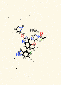 C=C(F)C(=O)N1CCN(c2nc(OC[C@@H]3CCCN3C)nc3cc(-c4c(Cl)c(C)cc5[nH]ncc45)c4c(c23)OCC4)C[C@@H]1CC#N